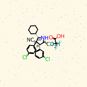 N#C[C@]1(c2ccc(Cl)cc2)[C@H](C2CCCCC2)N[C@@H](C(=O)O)[C@@H]1c1cccc(Cl)c1.O=C(O)C(F)(F)F